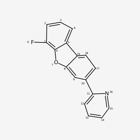 Fc1cccc2c1oc1cc(-c3ccccn3)ccc12